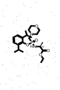 CCOC(=O)[C@H](C)NP(=O)(CN1CCOCC1)Oc1c(C(C)C)cccc1C(C)C